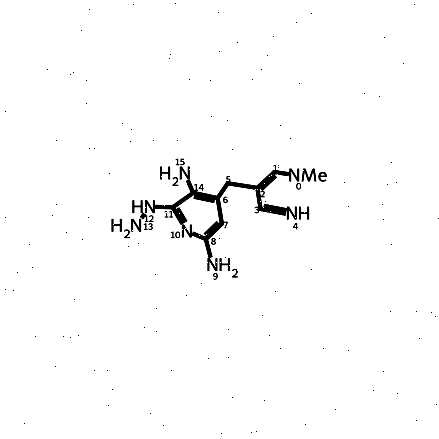 CN/C=C(\C=N)Cc1cc(N)nc(NN)c1N